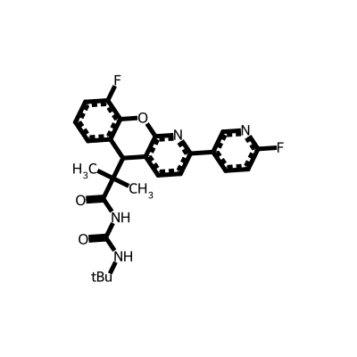 CC(C)(C)NC(=O)NC(=O)C(C)(C)C1c2ccc(-c3ccc(F)nc3)nc2Oc2c(F)cccc21